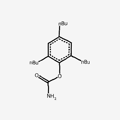 CCCCc1cc(CCCC)c(OC(N)=O)c(CCCC)c1